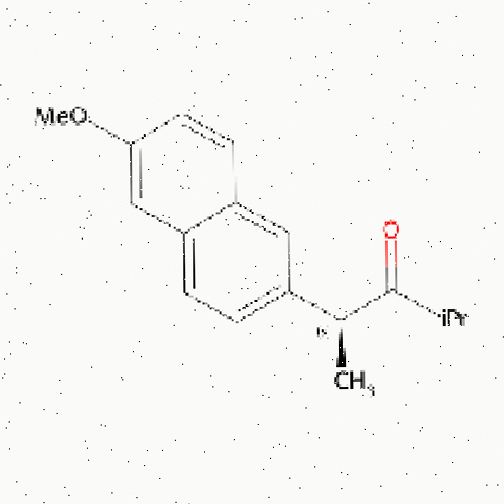 COc1ccc2cc([C@H](C)C(=O)C(C)C)ccc2c1